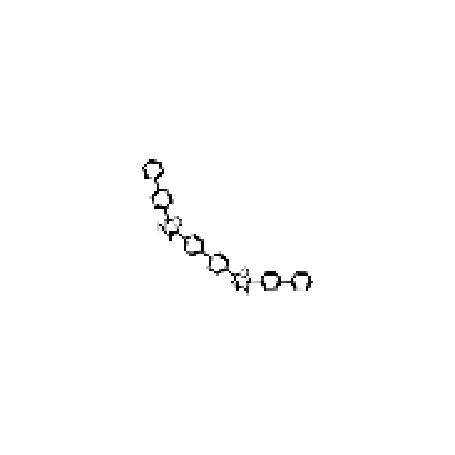 c1ccc(-c2ccc(-c3nnc(-c4ccc(-c5ccc(-c6nnc(-c7ccc(-c8ccccc8)cc7)o6)cc5)cc4)o3)cc2)cc1